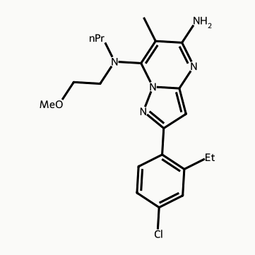 CCCN(CCOC)c1c(C)c(N)nc2cc(-c3ccc(Cl)cc3CC)nn12